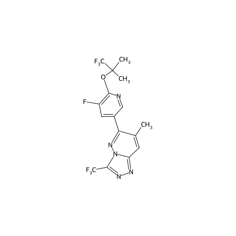 Cc1cc2nnc(C(F)(F)F)n2nc1-c1cnc(OC(C)(C)C(F)(F)F)c(F)c1